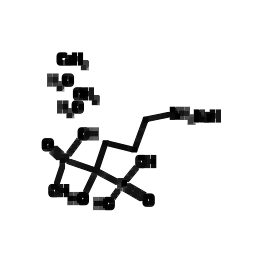 NCCCC(O)(P(=O)(O)O)P(=O)(O)O.O.O.O.[CaH2].[NaH]